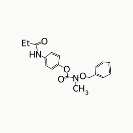 CCC(=O)Nc1ccc(OC(=O)N(C)OCc2ccccc2)cc1